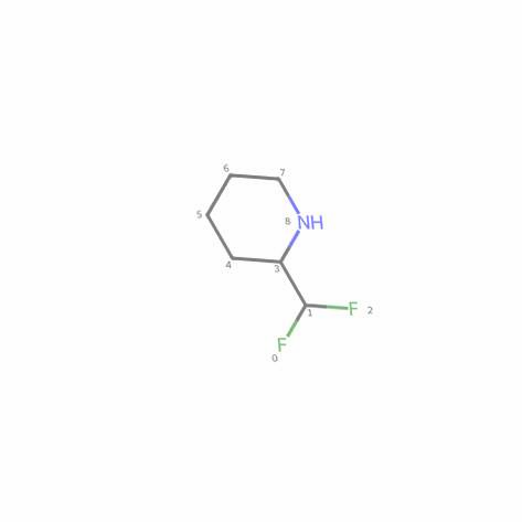 FC(F)C1CCCCN1